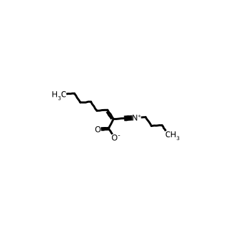 CCCCCC=C(C#[N+]CCCC)C(=O)[O-]